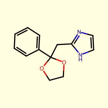 c1ccc(C2(Cc3ncc[nH]3)OCCO2)cc1